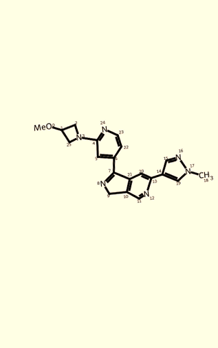 COC1CN(c2cc(C3=NCc4cnc(-c5cnn(C)c5)cc43)ccn2)C1